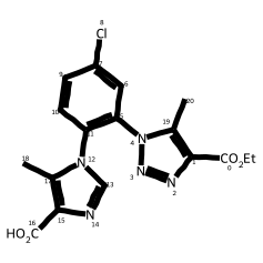 CCOC(=O)c1nnn(-c2cc(Cl)ccc2-n2cnc(C(=O)O)c2C)c1C